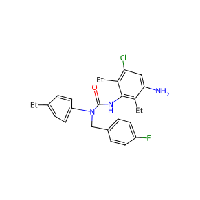 CCc1ccc(N(Cc2ccc(F)cc2)C(=O)Nc2c(CC)c(N)cc(Cl)c2CC)cc1